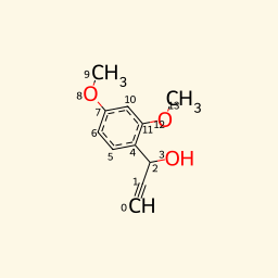 C#CC(O)c1ccc(OC)cc1OC